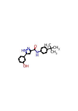 CC(C)(C)c1ccc(NC(=O)c2cc(-c3cccc(O)c3)[nH]n2)cc1